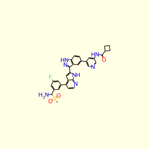 CS(=O)(=O)C(N)c1cc(F)cc(-c2ccnc3[nH]c(-c4n[nH]c5ccc(-c6cncc(NC(=O)C7CCC7)c6)cc45)cc23)c1